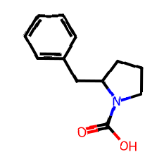 O=C(O)N1CCCC1Cc1ccccc1